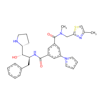 Cc1csc(CN(C)C(=O)c2cc(C(=O)N[C@@H](Cc3ccccc3)[C@H](O)[C@H]3CCCN3)cc(-n3cccc3)c2)n1